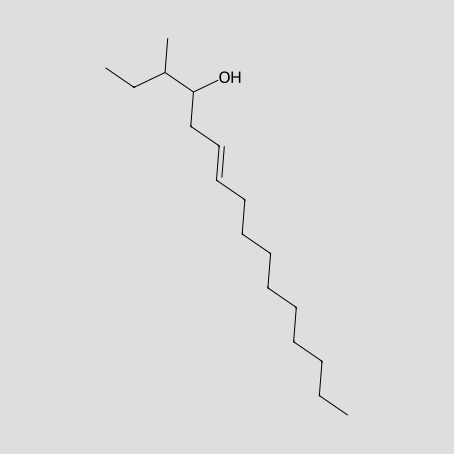 CCCCCCCCC/C=C/CC(O)C(C)CC